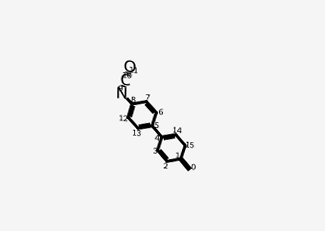 C=C1C=CC(c2ccc(N=C=O)cc2)=CC1